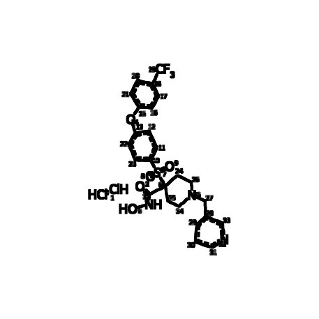 Cl.Cl.O=C(NO)C1(S(=O)(=O)c2ccc(Oc3ccc(C(F)(F)F)cc3)cc2)CCN(Cc2cccnc2)CC1